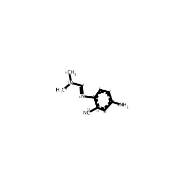 CN(C)/C=N/c1ccc(N)cc1C#N